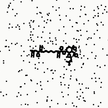 CNCC(=O)NCCCCCCNC(=O)OC1CC[C@]2(CO2)C([C@@]2(C)O[C@@H]2CC=C(C)C)C1OC